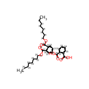 CCCCCCCCOC(=O)c1ccccc1C(=O)OCCCCCCCC.O=C(O)c1ccccc1C(=O)O